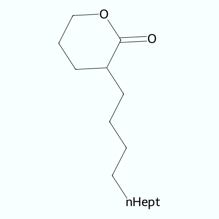 CCCCCCCCCCCC1CCCOC1=O